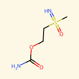 CS(=N)(=O)CCOC(N)=O